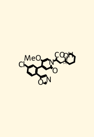 COc1cn(C(C[C@@H]2CCCCO2)C(=O)O)c(=O)cc1-c1cc(Cl)ccc1-c1cnco1